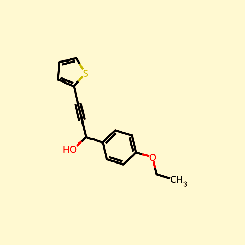 CCOc1ccc(C(O)C#Cc2cccs2)cc1